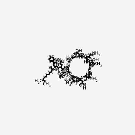 CCC(C)CCCCCCC(=O)NC(Cc1c[nH]c2ccccc12)C(=O)NC(CCC(=O)O)C(=O)NC(C(=O)NC1C(=O)NCC(=O)NC(C)C(=O)NC(CC(=O)O)C(=O)NC(CCCCN)C(=O)NC(C(OC)C(=O)O)C(=O)NCC(=O)NC(CC(N)=O)C(=O)NC(C(C)CC(=O)O)C(=O)NC(C(C)CC)C(=O)OC1C)C(O)C(N)=O